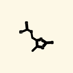 Cc1oc(=O)oc1COC(=O)Cl